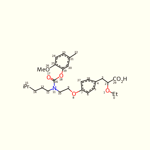 CCOC(Cc1ccc(OCCN(CCCC(C)C)C(=O)Oc2cc(C)ccc2OC)cc1)C(=O)O